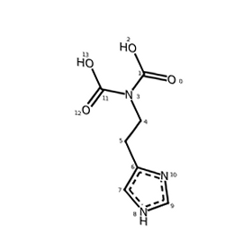 O=C(O)N(CCc1c[nH]cn1)C(=O)O